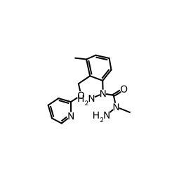 Cc1cccc(N(N)C(=O)N(C)N)c1COc1ccccn1